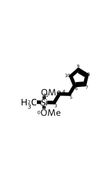 CO[Si](C)(CCCC1=CC=CC1)OC